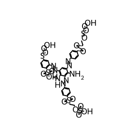 CNc1c(/N=N/c2cc(SOOO)ccc2S(=O)(=O)O)cc(/N=N/c2ccc(S(=O)(=O)CCOSOOO)cc2)c(N)c1/N=N/c1ccc(S(=O)(=O)CCOS(=O)(=O)O)cc1